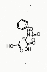 O=C(O)C[C@H](NP(=O)(Cl)Oc1ccccc1)C(=O)O